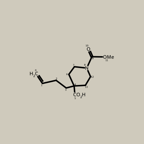 C=CCCC1(C(=O)O)CCN(C(=O)OC)CC1